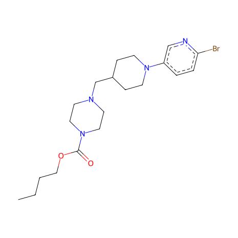 CCCCOC(=O)N1CCN(CC2CCN(c3ccc(Br)nc3)CC2)CC1